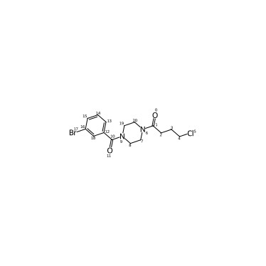 O=C(CCCCl)N1CCN(C(=O)c2cccc(Br)c2)CC1